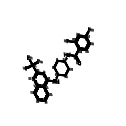 O=C(N[C@H]1CC[C@@H](Nc2cc(C(F)(F)F)nc3ccccc23)CC1)c1ccc(F)cc1F